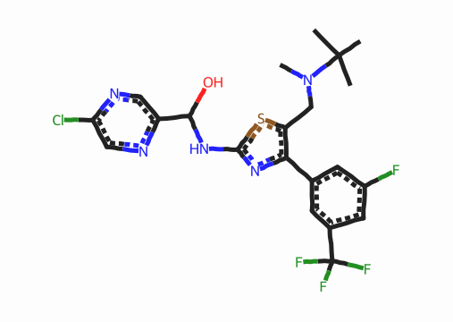 CN(Cc1sc(NC(O)c2cnc(Cl)cn2)nc1-c1cc(F)cc(C(F)(F)F)c1)C(C)(C)C